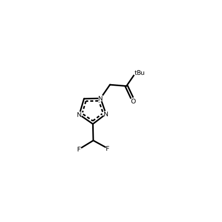 CC(C)(C)C(=O)Cn1cnc(C(F)F)n1